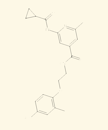 Cc1cc(C(=O)NCCOc2ccc(C(F)(F)F)cc2C)cc(NC(=O)C2CC2)n1